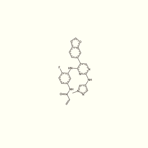 C=CC(=O)Nc1ccc(F)c(Nc2nc(Nc3cnn(C)c3)ncc2-c2ccc3ccoc3c2)c1